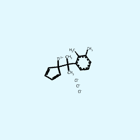 Cc1cccc(C(C)(C)[C]2([Ti+3])C=CC=C2)c1C.[Cl-].[Cl-].[Cl-]